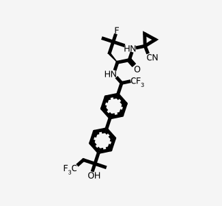 CC(C)(F)C[C@H](NC(c1ccc(-c2ccc(C(C)(O)CC(F)(F)F)cc2)cc1)C(F)(F)F)C(=O)NC1(C#N)CC1